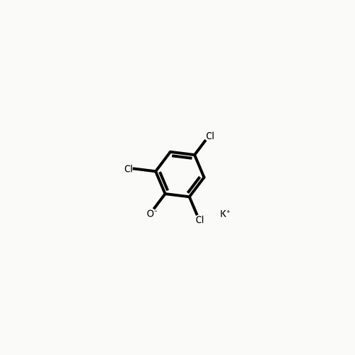 [K+].[O-]c1c(Cl)cc(Cl)cc1Cl